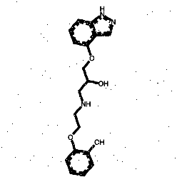 Oc1ccccc1OCCNCC(O)COc1cccc2[nH]ncc12